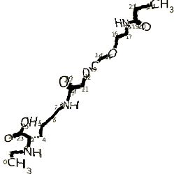 CCN[C@@H](CCCCNC(=O)COCCOCCNC(=O)CC)C(=O)O